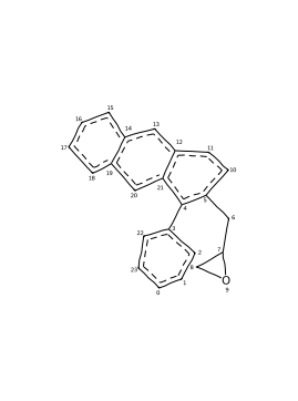 c1ccc(-c2c(CC3CO3)ccc3cc4ccccc4cc23)cc1